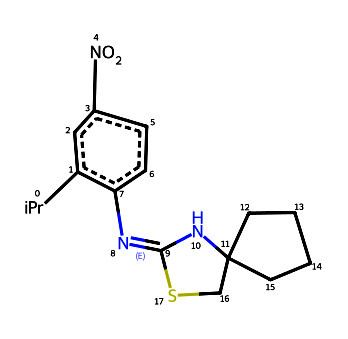 CC(C)c1cc([N+](=O)[O-])ccc1/N=C1\NC2(CCCC2)CS1